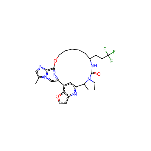 CCN1C(=O)NC(CCC(F)(F)F)CCCCCOc2nc(cn3c(C)cnc23)-c2cc(nc3ccoc23)C1C